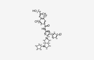 C/C(=C\c1c(Cl)cc(C(=O)Nc2nc(-c3cc(Cl)cs3)c(N3CC4CCN(C5CCCC5)C4C3)s2)cc1Cl)C(=O)O